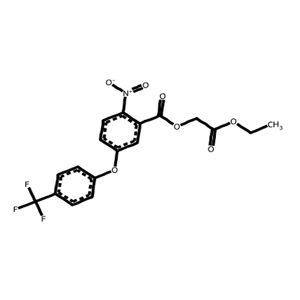 CCOC(=O)COC(=O)c1cc(Oc2ccc(C(F)(F)F)cc2)ccc1[N+](=O)[O-]